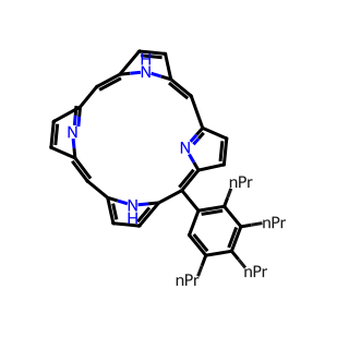 CCCc1cc(-c2c3nc(cc4ccc(cc5nc(cc6ccc2[nH]6)C=C5)[nH]4)C=C3)c(CCC)c(CCC)c1CCC